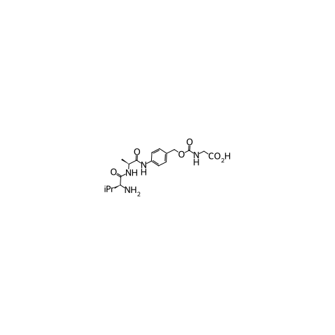 CC(C)[C@H](N)C(=O)N[C@@H](C)C(=O)Nc1ccc(COC(=O)NCC(=O)O)cc1